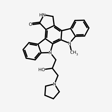 Cn1c2ccccc2c2c3c(c4c5ccccc5n(CC(O)CN5CCCC5)c4c21)C(=O)NC3